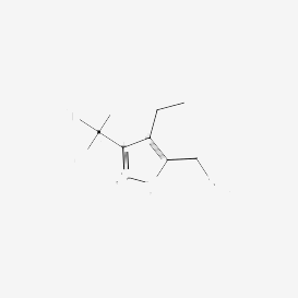 CCc1c(C(F)(F)F)noc1CN